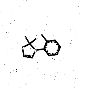 Cc1ccccc1N1C=CSC1(C)C